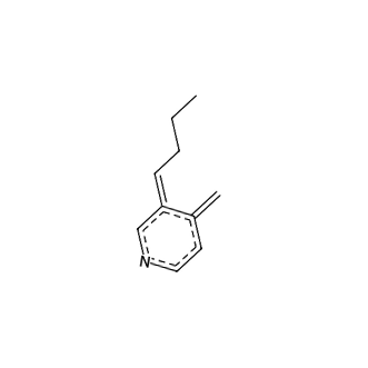 C=c1ccnc/c1=C/CCC